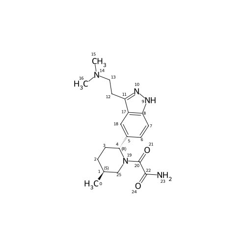 C[C@H]1CC[C@H](c2ccc3[nH]nc(CCN(C)C)c3c2)N(C(=O)C(N)=O)C1